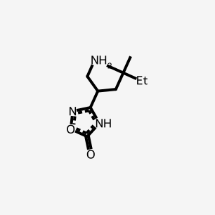 CCC(C)(C)CC(CN)c1noc(=O)[nH]1